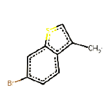 [CH2]c1csc2cc(Br)ccc12